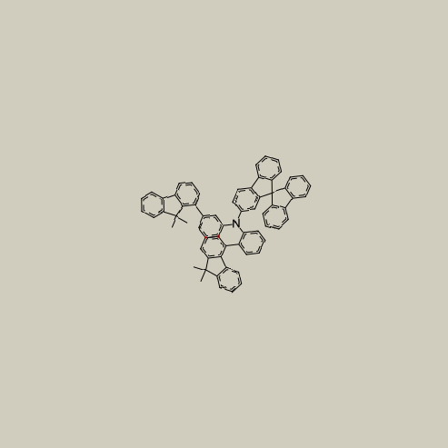 CC1(C)c2ccccc2-c2c(-c3ccccc3N(c3cccc(-c4cccc5c4C(C)(C)c4ccccc4-5)c3)c3ccc4c(c3)C3(c5ccccc5-c5ccccc53)c3ccccc3-4)cccc21